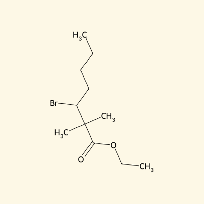 CCCCC(Br)C(C)(C)C(=O)OCC